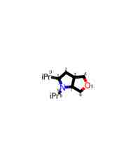 CC(C)C1CC2COCC2N1C(C)C